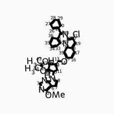 COc1ncnc2c1ccn2C1C[C@H](COc2ccc3cc(Cl)c(N=C(c4ccccc4)c4ccccc4)nc3c2)[C@H]2OC(C)(C)O[C@@H]12